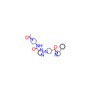 CC(=O)N1CCC(NC(=O)c2ccnc(N3CCC(C(=O)N4N=CCC4c4ccccc4)CC3)n2)CC1